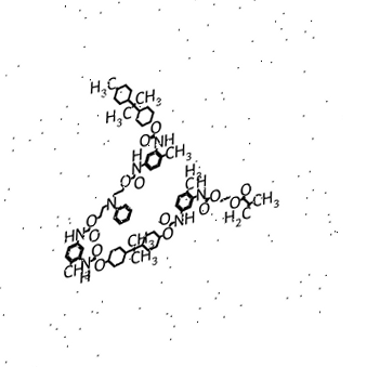 C=C(C)C(=O)OCCOC(=O)Nc1cc(NC(=O)OC2CCC(C(C)(C)C3CCC(OC(=O)Nc4cc(NC(=O)OCCN(CCOC(=O)Nc5ccc(C)c(NC(=O)OC6CCC(C(C)(C)C7CCC(C)CC7)CC6)c5)c5ccccc5)ccc4C)CC3)CC2)ccc1C